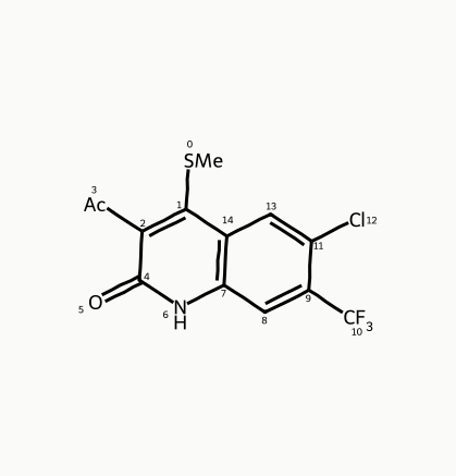 CSc1c(C(C)=O)c(=O)[nH]c2cc(C(F)(F)F)c(Cl)cc12